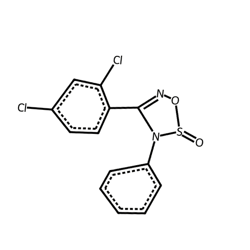 O=S1ON=C(c2ccc(Cl)cc2Cl)N1c1ccccc1